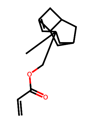 C=CC(=O)OCC1(C)C=C2CC3CC(CC23)C1